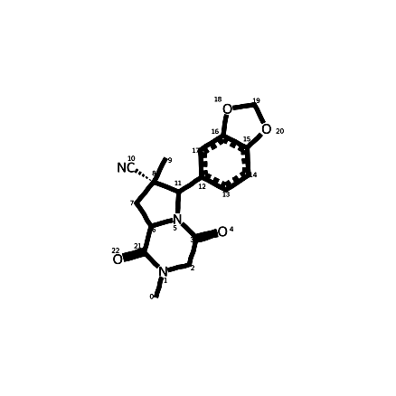 CN1CC(=O)N2C(C[C@](C)(C#N)C2c2ccc3c(c2)OCO3)C1=O